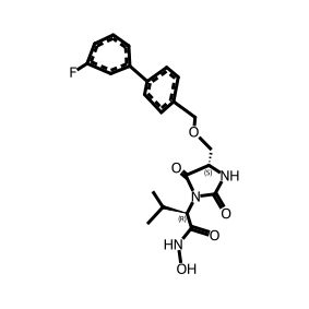 CC(C)[C@H](C(=O)NO)N1C(=O)N[C@@H](COCc2ccc(-c3cccc(F)c3)cc2)C1=O